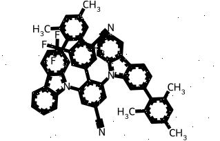 Cc1cc(C)c(-c2ccc3c4ccccc4n(-c4cc(C#N)cc(-n5c6ccccc6c6ccc(-c7c(C)cc(C)cc7C)cc65)c4-c4cc(C#N)cc(C(F)(F)F)c4)c3c2)c(C)c1